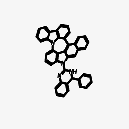 c1ccc(C2NC(n3c4cc5ccccc5c5c6cccc7c8ccccc8n(c8cccc3c8c54)c76)=Nc3ccccc32)cc1